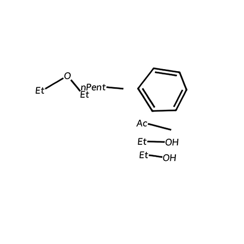 CC(C)=O.CCCCCC.CCO.CCO.CCOCC.c1ccccc1